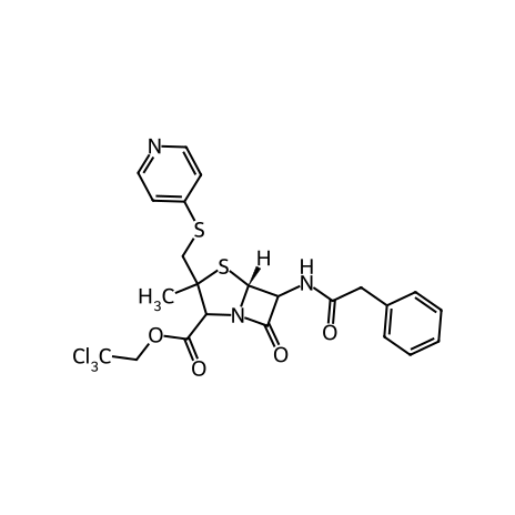 CC1(CSc2ccncc2)S[C@@H]2C(NC(=O)Cc3ccccc3)C(=O)N2C1C(=O)OCC(Cl)(Cl)Cl